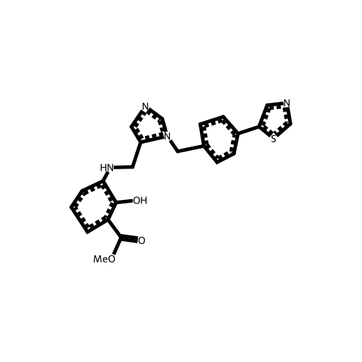 COC(=O)c1cccc(NCc2cncn2Cc2ccc(-c3cncs3)cc2)c1O